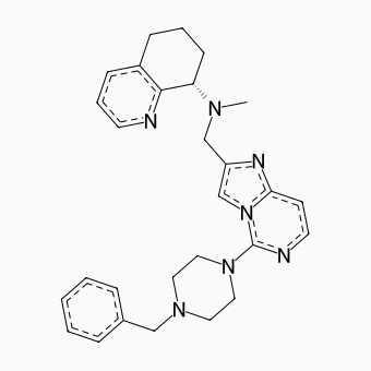 CN(Cc1cn2c(N3CCN(Cc4ccccc4)CC3)nccc2n1)[C@H]1CCCc2cccnc21